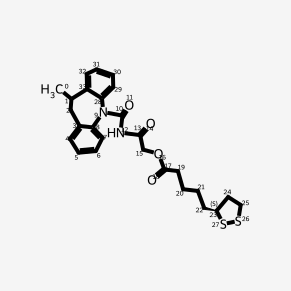 CC1Cc2ccccc2N(C(=O)NC(=O)COC(=O)CCCC[C@H]2CCSS2)c2ccccc21